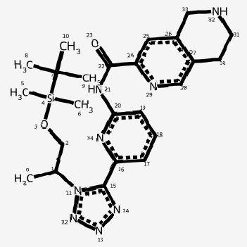 CC(CO[Si](C)(C)C(C)(C)C)n1nnnc1-c1cccc(NC(=O)c2cc3c(cn2)CCNC3)n1